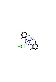 CN=C1N(c2c(C)cccc2C)CCN1c1c(C)cccc1C.Cl